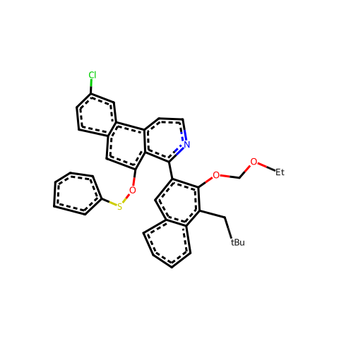 CCOCOc1c(-c2nccc3c2c(OSc2ccccc2)cc2ccc(Cl)cc23)cc2ccccc2c1CC(C)(C)C